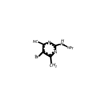 CCCNc1nc(C)c(Br)c(C#N)n1